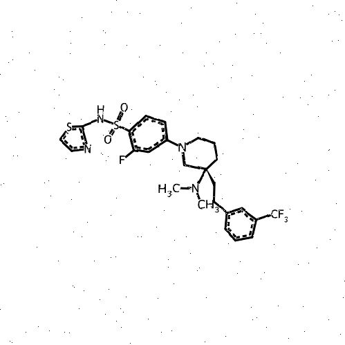 CN(C)[C@@]1(CCc2cccc(C(F)(F)F)c2)CCCN(c2ccc(S(=O)(=O)Nc3nccs3)c(F)c2)C1